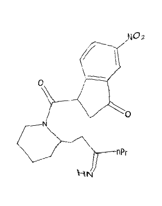 CCCC(=N)CC1CCCCN1C(=O)C1CC(=O)c2cc([N+](=O)[O-])ccc21